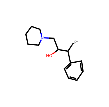 CC(C)C(c1ccccc1)C(O)CN1CCCCC1